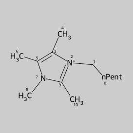 CCCCCC[n+]1c(C)c(C)n(C)c1C